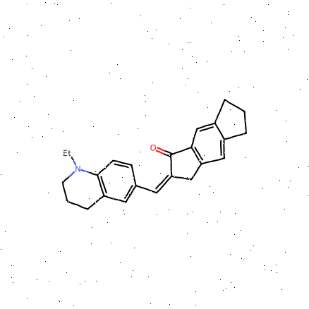 CCN1CCCc2cc(C=C3Cc4cc5c(cc4C3=O)CCC5)ccc21